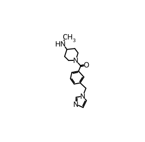 CNC1CCN(C(=O)c2cccc(Cn3ccnc3)c2)CC1